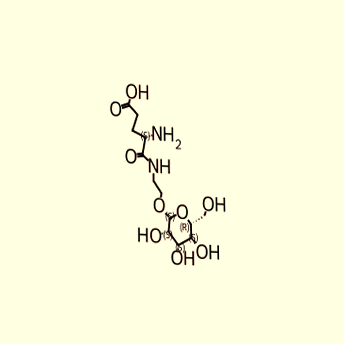 N[C@@H](CCC(=O)O)C(=O)NCCO[C@H]1O[C@H](CO)[C@@H](O)[C@H](O)[C@@H]1O